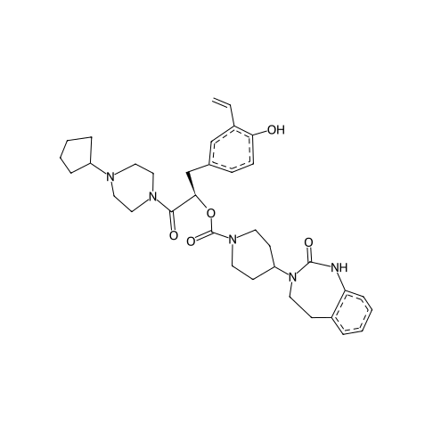 C=Cc1cc(C[C@@H](OC(=O)N2CCC(N3CCc4ccccc4NC3=O)CC2)C(=O)N2CCN(C3CCCC3)CC2)ccc1O